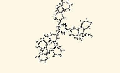 CC1(C)c2ccccc2-c2cc(-c3nc(-c4ccc5oc6ccccc6c5c4)nc(-c4cc5sc6ccc7c8ccccc8n8c9ccccc9c(c4)c5c6c78)n3)ccc21